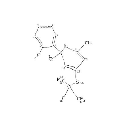 Fc1ccccc1C1(Cl)[CH]C(Cl)=CC(SC(F)(C(F)(F)F)C(F)(F)F)=C1